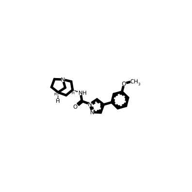 COc1cccc(-c2cnn(C(=O)N[C@@H]3C[C@H]4CCN(C4)C3)c2)c1